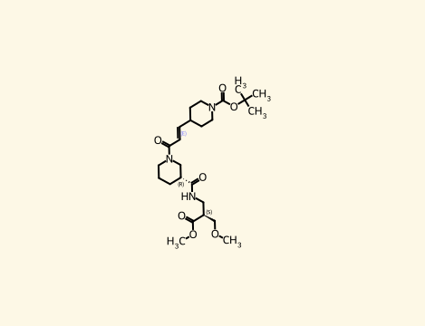 COC[C@H](CNC(=O)[C@@H]1CCCN(C(=O)/C=C/C2CCN(C(=O)OC(C)(C)C)CC2)C1)C(=O)OC